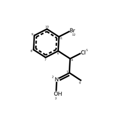 CC(=NO)C(Cl)c1ccccc1Br